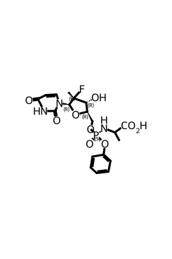 CC(N[P@](=O)(OC[C@H]1O[C@@H](n2ccc(=O)[nH]c2=O)[C@](C)(F)[C@@H]1O)Oc1ccccc1)C(=O)O